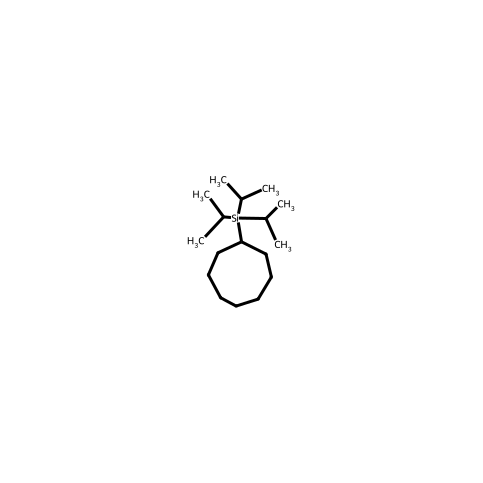 CC(C)[Si](C(C)C)(C(C)C)C1CCCCCCC1